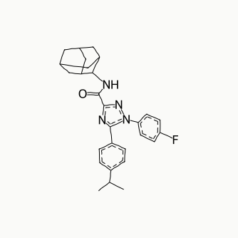 CC(C)c1ccc(-c2nc(C(=O)NC3C4CC5CC(C4)CC3C5)nn2-c2ccc(F)cc2)cc1